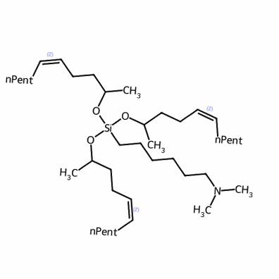 CCCCC/C=C\CCC(C)O[Si](CCCCCCN(C)C)(OC(C)CC/C=C\CCCCC)OC(C)CC/C=C\CCCCC